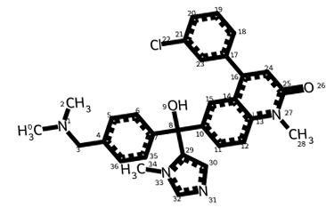 CN(C)Cc1ccc(C(O)(c2ccc3c(c2)c(-c2cccc(Cl)c2)cc(=O)n3C)c2cncn2C)cc1